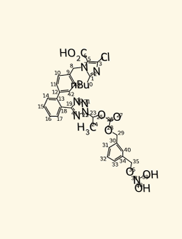 CCCCc1nc(Cl)c(C(=O)O)n1Cc1ccc(-c2ccccc2-c2nnn(C(C)OC(=O)OCc3cccc(CON(O)O)c3)n2)cc1